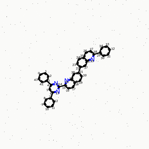 c1ccc(-c2cc(-c3ccccc3)nc(-c3ccc4ccc(-c5ccc6ccc(-c7ccccc7)nc6c5)cc4n3)n2)cc1